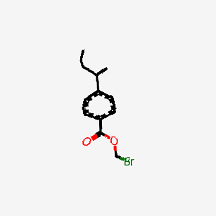 CCC(C)c1ccc(C(=O)OCBr)cc1